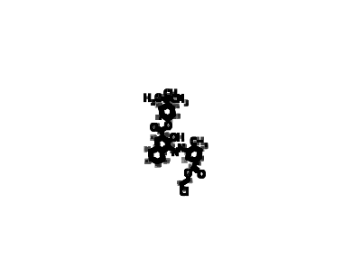 Cc1ccc(C(=O)OCCCl)cc1N=Nc1c(O)c(C(=O)Oc2ccc(C(C)(C)C)cc2)cc2ccccc12